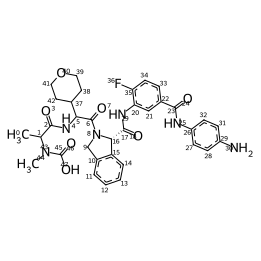 CC(C(=O)NC(C(=O)N1Cc2ccccc2[C@H]1C(=O)Nc1cc(C(=O)Nc2ccc(N)cc2)ccc1F)C1CCOCC1)N(C)C(=O)O